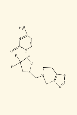 Nc1ccn([C@@H]2OC(CN3CCc4scnc4C3)CC2(F)F)c(=O)n1